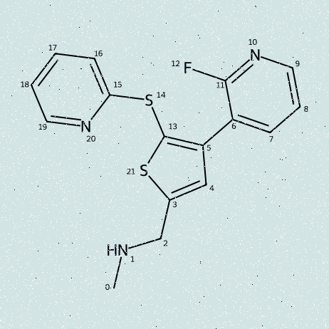 CNCc1cc(-c2cccnc2F)c(Sc2ccccn2)s1